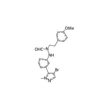 COc1ccc(CCN(C=O)Nc2cccc(-c3c(Br)cnn3C)c2)cc1